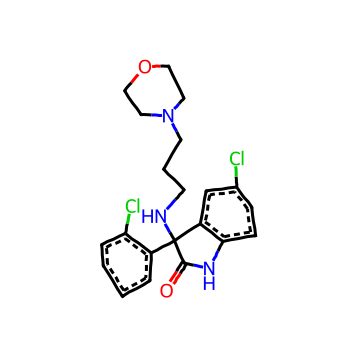 O=C1Nc2ccc(Cl)cc2C1(NCCCN1CCOCC1)c1ccccc1Cl